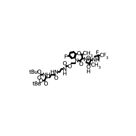 C[C@H]1Oc2ccc(F)cc2N(CCOC(=O)NCCNC(=O)CC[C@H](NC(=O)OC(C)(C)C)C(=O)OC(C)(C)C)C(=O)[C@H]1NC[C@](C)(O)C(=O)NCC(F)(F)C(F)(F)F